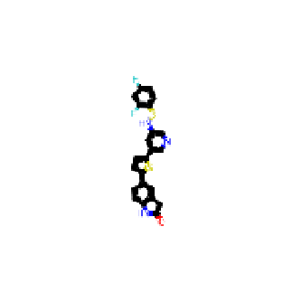 O=C1Cc2cc(-c3ccc(-c4cncc(NSc5ccc(F)cc5F)c4)s3)ccc2N1